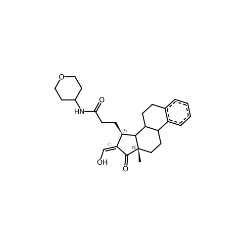 C[C@]12CCC3c4ccccc4CCC3C1[C@H](CCC(=O)NC1CCOCC1)/C(=C/O)C2=O